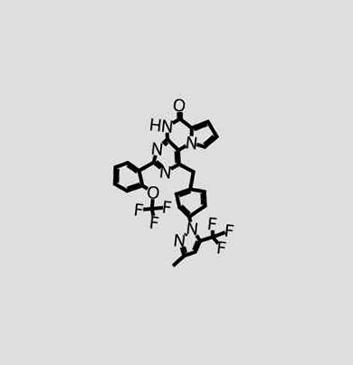 Cc1cc(C(F)(F)F)n(-c2ccc(Cc3nc(-c4ccccc4OC(F)(F)F)nc4[nH]c(=O)c5cccn5c34)cc2)n1